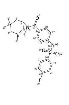 CC1(C)CC2CC(C)(CN2C(=O)c2ccc(NS(=O)(=O)c3ccc(F)cc3)cc2)C1